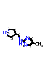 Cc1cnc(NCC2CCNCC2)nc1